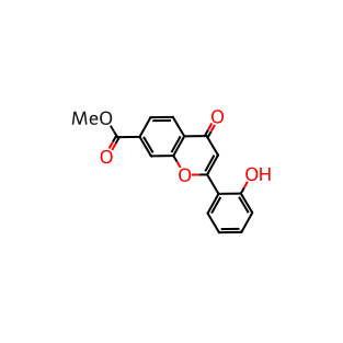 COC(=O)c1ccc2c(=O)cc(-c3ccccc3O)oc2c1